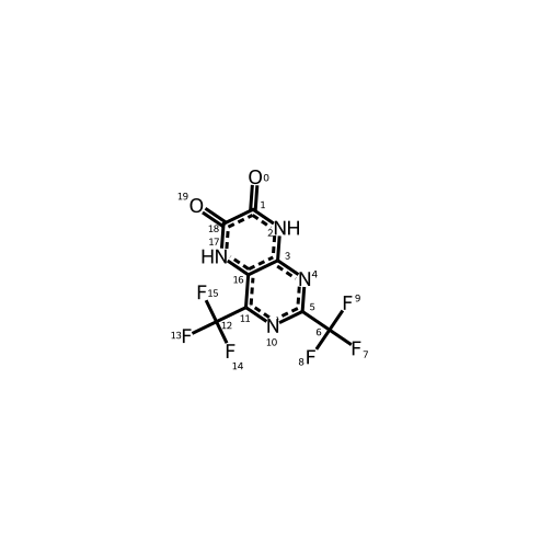 O=c1[nH]c2nc(C(F)(F)F)nc(C(F)(F)F)c2[nH]c1=O